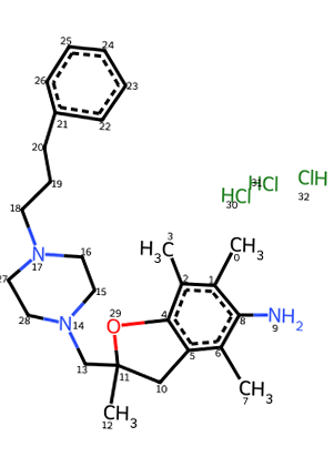 Cc1c(C)c2c(c(C)c1N)CC(C)(CN1CCN(CCCc3ccccc3)CC1)O2.Cl.Cl.Cl